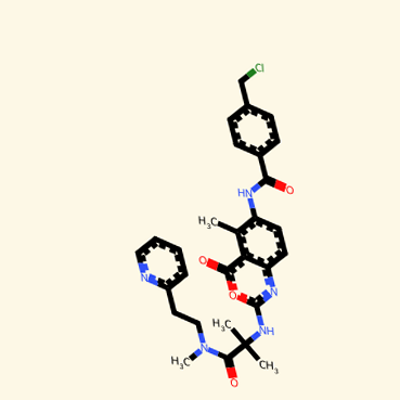 Cc1c(NC(=O)c2ccc(CCl)cc2)ccc2nc(NC(C)(C)C(=O)N(C)CCc3ccccn3)oc(=O)c12